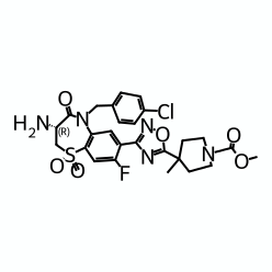 COC(=O)N1CCC(C)(c2nc(-c3cc4c(cc3F)S(=O)(=O)C[C@H](N)C(=O)N4Cc3ccc(Cl)cc3)no2)CC1